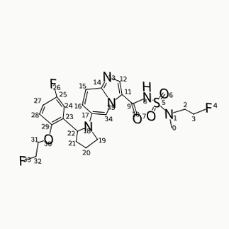 CN(CCF)S(=O)(=O)NC(=O)c1cnc2ccc(N3CCCC3c3cc(F)ccc3OCCF)cn12